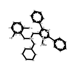 CCCCn1c(-c2ccccc2)nc(-c2ccccc2)c1CN(Cc1c(F)cccc1F)CC1CCCCC1